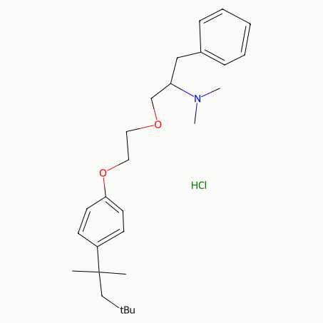 CN(C)C(COCCOc1ccc(C(C)(C)CC(C)(C)C)cc1)Cc1ccccc1.Cl